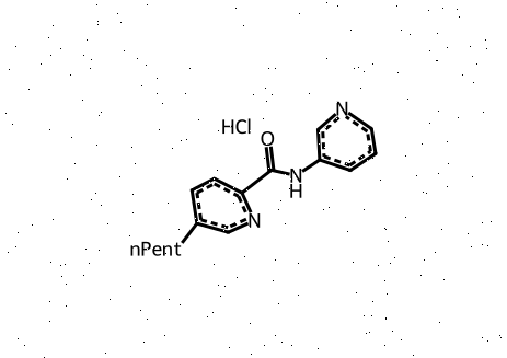 CCCCCc1ccc(C(=O)Nc2cccnc2)nc1.Cl